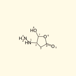 NNC1CC(=O)OC1O